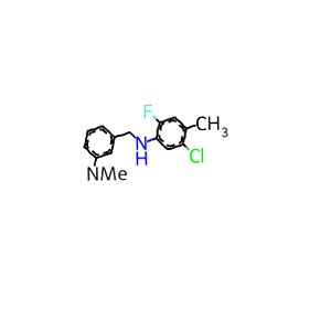 CNc1cccc(CNc2cc(Cl)c(C)cc2F)c1